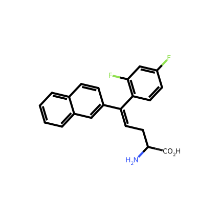 NC(CC=C(c1ccc2ccccc2c1)c1ccc(F)cc1F)C(=O)O